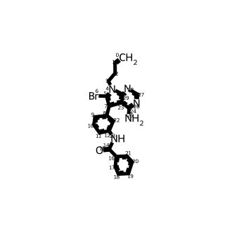 C=CCCn1c(Br)c(-c2cccc(NC(=O)c3ccccc3)c2)c2c(N)ncnc21